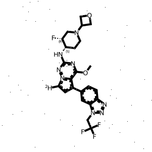 [2H]c1cc(-c2ccc3nnn(CC(F)(F)F)c3c2)c2c(OC)nc(N[C@H]3CCN(C4COC4)C[C@H]3F)nn12